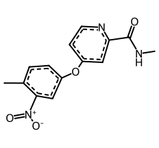 CNC(=O)c1cc(Oc2ccc(C)c([N+](=O)[O-])c2)ccn1